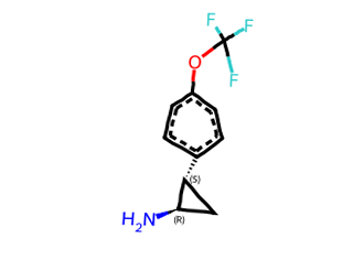 N[C@@H]1C[C@H]1c1ccc(OC(F)(F)F)cc1